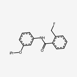 CC(C)Oc1cccc(NC(=O)c2ccccc2CF)c1